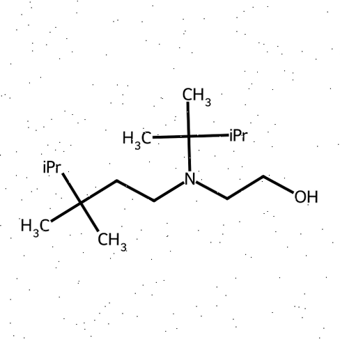 CC(C)C(C)(C)CCN(CCO)C(C)(C)C(C)C